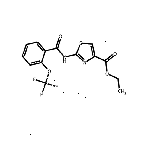 CCOC(=O)c1csc(NC(=O)c2ccccc2OC(F)(F)F)n1